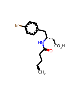 C=CCCC(=O)N[C@@H](CC(=O)O)Cc1ccc(Br)cc1